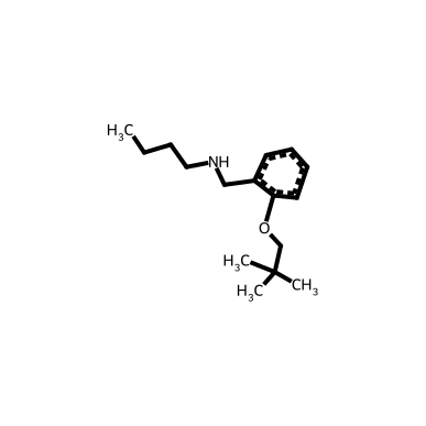 CCCCNCc1ccccc1OCC(C)(C)C